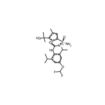 Cc1cc([S@@](N)(=O)=NC(=O)Nc2c(C(C)C)cc(OC(F)F)cc2C(C)C)sc1C(C)(C)O